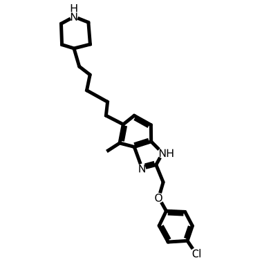 Cc1c(CCCCCC2CCNCC2)ccc2[nH]c(COc3ccc(Cl)cc3)nc12